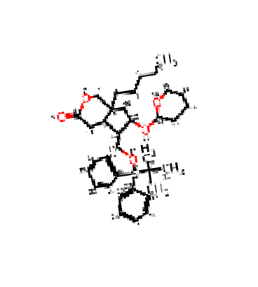 CCCCCC12COC(=O)CC1C(CO[Si](c1ccccc1)(c1ccccc1)C(C)(C)C)C(OC1CCCCO1)C2